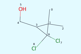 CC1(C)C(CO)C1(Cl)Cl